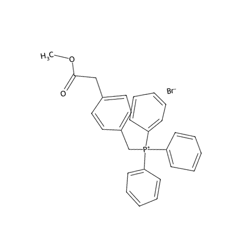 COC(=O)Cc1ccc(C[P+](c2ccccc2)(c2ccccc2)c2ccccc2)cc1.[Br-]